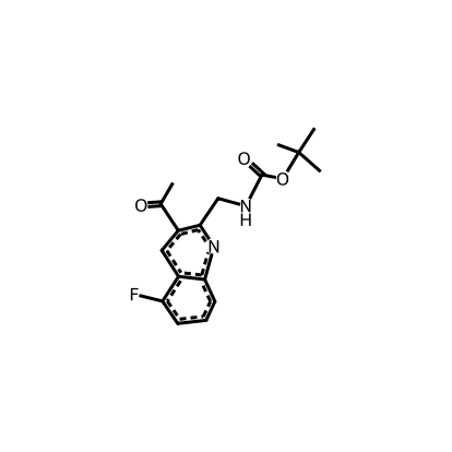 CC(=O)c1cc2c(F)cccc2nc1CNC(=O)OC(C)(C)C